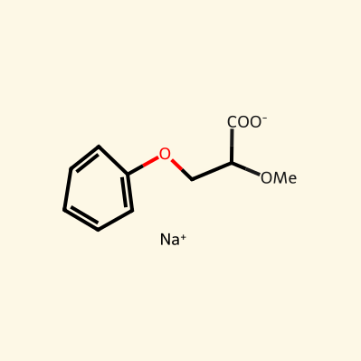 COC(COc1ccccc1)C(=O)[O-].[Na+]